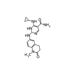 CN1C(=O)CCc2cc(NC3N=CC(C(N)=O)=C(NC4CC4)N3)ccc21